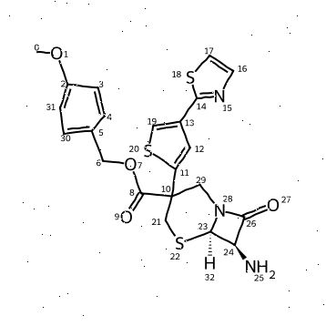 COc1ccc(COC(=O)C2(c3cc(-c4nccs4)cs3)CS[C@@H]3[C@H](N)C(=O)N3C2)cc1